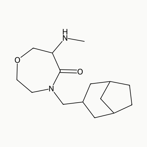 CNC1COCCN(CC2CC3CCC(C3)C2)C1=O